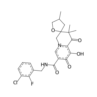 CC1COC2(C1)Cn1cc(C(=O)NCc3cccc(Cl)c3F)c(=O)c(O)c1C(=O)C2(C)C